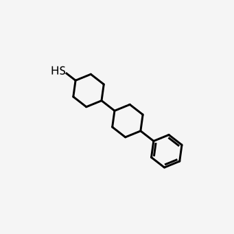 SC1CCC(C2CCC(c3ccccc3)CC2)CC1